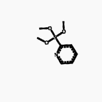 CO[Si](OC)(OC)c1ccccn1